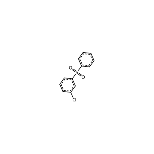 O=S(=O)(c1ccccc1)c1cccc(Cl)c1